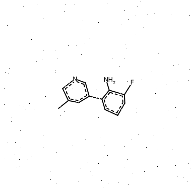 Cc1cncc(-c2cccc(F)c2N)c1